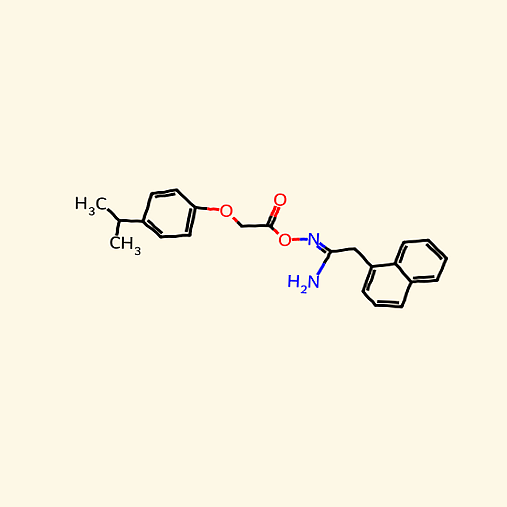 CC(C)c1ccc(OCC(=O)O/N=C(\N)Cc2cccc3ccccc23)cc1